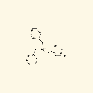 [F-].c1ccc([CH2][Ge+]([CH2]c2ccccc2)[CH2]c2ccccc2)cc1